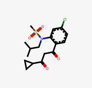 CC(C)CN(c1cc(Cl)ccc1C(=O)CC(=O)C1CC1)S(C)(=O)=O